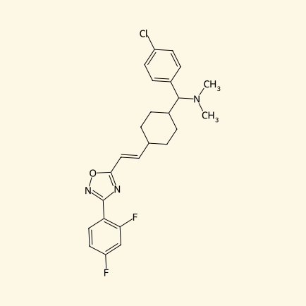 CN(C)C(c1ccc(Cl)cc1)C1CCC(C=Cc2nc(-c3ccc(F)cc3F)no2)CC1